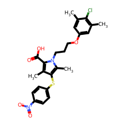 Cc1cc(OCCCn2c(C)c(Sc3ccc([N+](=O)[O-])cc3)c(C)c2C(=O)O)cc(C)c1Cl